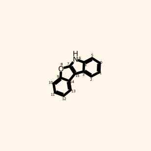 c1ccc2c(c1)[nH]c1oc3ccccc3c12